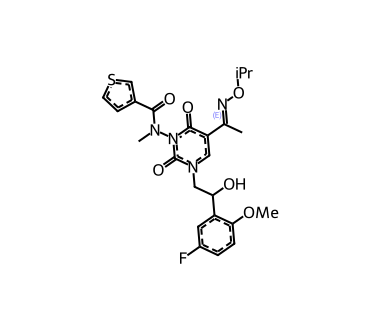 COc1ccc(F)cc1C(O)Cn1cc(/C(C)=N/OC(C)C)c(=O)n(N(C)C(=O)c2ccsc2)c1=O